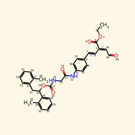 CCOC(=O)C(/C=C/c1ccc(NC(=O)CNC(=O)OC(Cc2ccccc2C)c2ccccc2C)cc1)=C/C=O